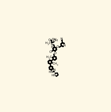 Cc1c(COc2cc(OCc3cncc(C#N)c3)c(CN[C@@](C)(CO)C(=O)O)cc2Cl)cccc1-c1cccc(-c2ccc3[nH]c([C@@H]4CCCN4)nc3c2)c1C